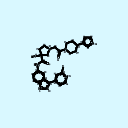 CCCC1(C(=O)Nc2ccc3[nH]nc(-c4ccnc(C)c4)c3c2)CCN(CC(=O)N2CCC(c3ccsc3)CC2)C1